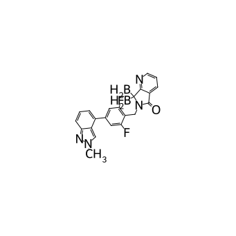 BC1(B)c2ncccc2C(=O)N1Cc1c(F)cc(-c2cccc3nn(C)cc23)cc1F